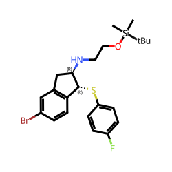 CC(C)(C)[Si](C)(C)OCCN[C@@H]1Cc2cc(Br)ccc2[C@H]1Sc1ccc(F)cc1